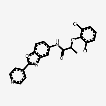 CC(Oc1c(Cl)cccc1Cl)C(=O)Nc1ccc2oc(-c3ccncc3)nc2c1